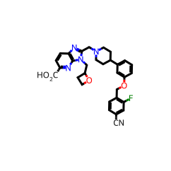 N#Cc1ccc(COc2cccc(C3CCN(Cc4nc5ccc(C(=O)O)nc5n4CC4CCO4)CC3)c2)c(F)c1